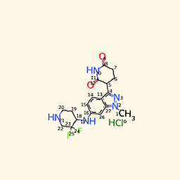 Cl.Cn1nc(C2CCC(=O)NC2=O)c2ccc(NC3CCNCC3(F)F)cc21